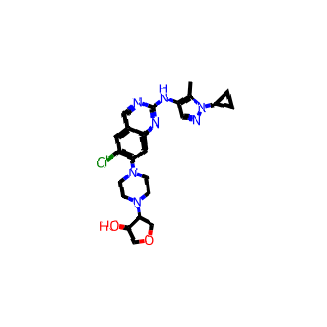 Cc1c(Nc2ncc3cc(Cl)c(N4CCN(C5COCC5O)CC4)cc3n2)cnn1C1CC1